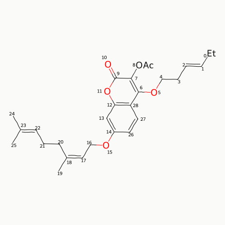 CCC=CCCOc1c(OC(C)=O)c(=O)oc2cc(OCC=C(C)CCC=C(C)C)ccc12